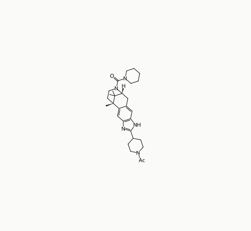 CC(=O)N1CCC(c2nc3cc4c(cc3[nH]2)C[C@H]2N(C(=O)N3CCCCC3)CC[C@]4(C)C2(C)C)CC1